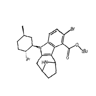 CC(C)[C@@H]1CC[C@@H](C)C[C@H]1n1c2c(c3c(C(=O)OC(C)(C)C)c(Br)ccc31)C1CCC(C2)N1